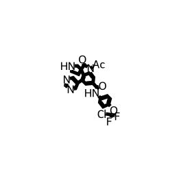 CC(=O)N1C(=O)C2(CCNC2)c2c(-c3cncnc3)cc(C(=O)Nc3ccc(OC(F)(F)Cl)cc3)cc21